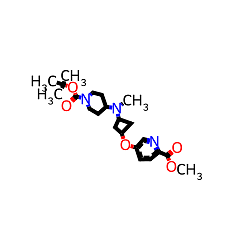 COC(=O)c1ccc(OC2CC(N(C)C3CCN(C(=O)OC(C)(C)C)CC3)C2)cn1